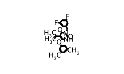 Cc1cc(C)cc(Oc2[nH]c(=O)n(Cc3cc(F)cc(F)c3)c(=O)c2C(C)C)c1